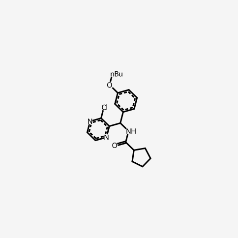 CCCCOc1cccc(C(NC(=O)C2CCCC2)c2nccnc2Cl)c1